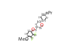 CCCc1ccc(C2CCC(COc3ccc(OC)c(F)c3F)CO2)cc1